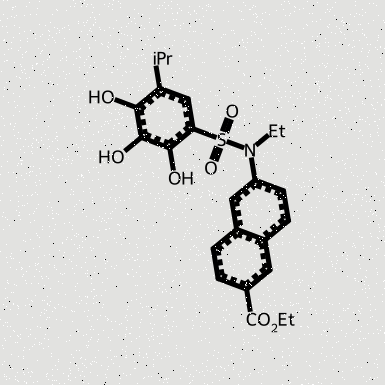 CCOC(=O)c1ccc2cc(N(CC)S(=O)(=O)c3cc(C(C)C)c(O)c(O)c3O)ccc2c1